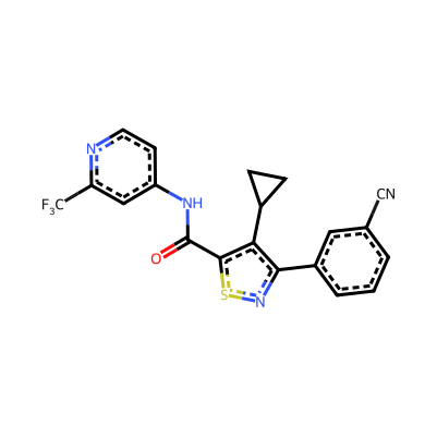 N#Cc1cccc(-c2nsc(C(=O)Nc3ccnc(C(F)(F)F)c3)c2C2CC2)c1